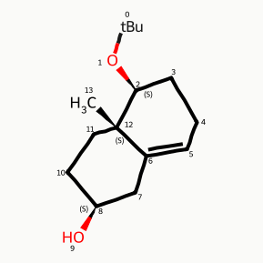 CC(C)(C)O[C@H]1CCC=C2C[C@@H](O)CC[C@@]21C